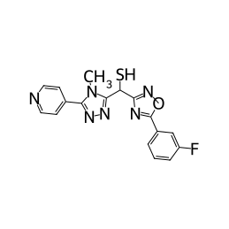 Cn1c(-c2ccncc2)nnc1C(S)c1noc(-c2cccc(F)c2)n1